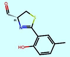 Cc1ccc(O)c(C2=N[C@H](C=O)CS2)c1